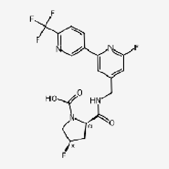 O=C(NCc1cc(F)nc(-c2ccc(C(F)(F)F)nc2)c1)[C@H]1C[C@@H](F)CN1C(=O)O